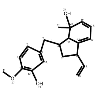 C=CC1CC(Cc2ccc(OC)c(O)c2)C2C1=CC=CC2(C)O